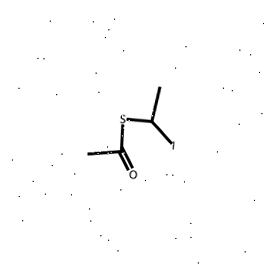 CC(=O)SC(C)I